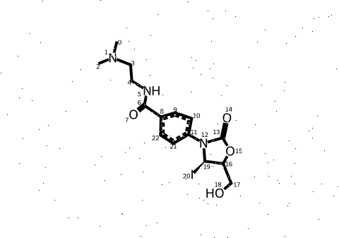 CN(C)CCNC(=O)c1ccc(N2C(=O)OC(CO)[C@H]2I)cc1